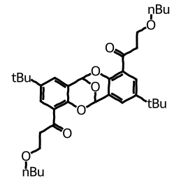 CCCCOCCC(=O)c1cc(C(C)(C)C)cc2c1OC1OC2Oc2c(C(=O)CCOCCCC)cc(C(C)(C)C)cc21